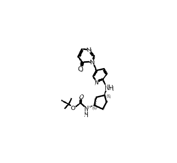 CC(C)(C)OC(=O)N[C@H]1CC[C@H](Nc2ccc(-n3cnccc3=O)cn2)C1